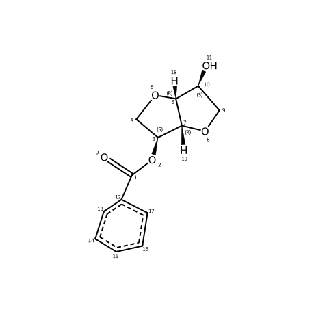 O=C(O[C@H]1CO[C@H]2[C@@H]1OC[C@@H]2O)c1ccccc1